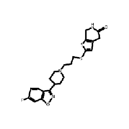 O=C1Cc2cc(SCCCN3CCC(c4noc5cc(F)ccc45)CC3)sc2CN1